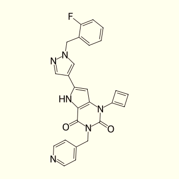 O=c1c2[nH]c(-c3cnn(Cc4ccccc4F)c3)cc2n(C2=CC=C2)c(=O)n1Cc1ccncc1